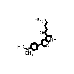 CN(C)c1ccc(-c2cnc3[nH]cc(C(=O)CCCS(=O)(=O)O)c3c2)cc1